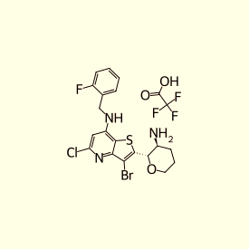 N[C@H]1CCCO[C@@H]1c1sc2c(NCc3ccccc3F)cc(Cl)nc2c1Br.O=C(O)C(F)(F)F